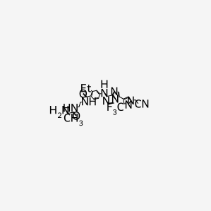 CCc1cc(Nc2nccn3c(-c4cn(CC#N)nc4C(F)(F)F)cnc23)ccc1C(=O)NCCNC(=O)[C@H](C)N